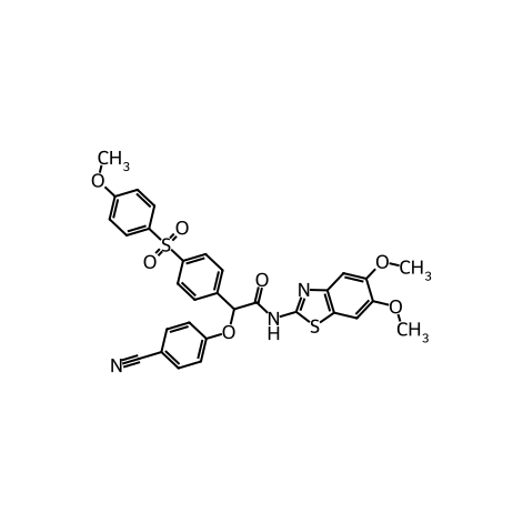 COc1ccc(S(=O)(=O)c2ccc(C(Oc3ccc(C#N)cc3)C(=O)Nc3nc4cc(OC)c(OC)cc4s3)cc2)cc1